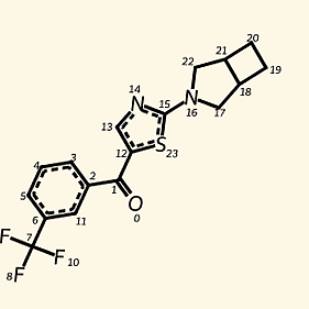 O=C(c1cccc(C(F)(F)F)c1)c1cnc(N2CC3CCC3C2)s1